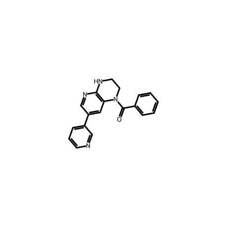 O=C(c1ccccc1)N1CCNc2ncc(-c3cccnc3)cc21